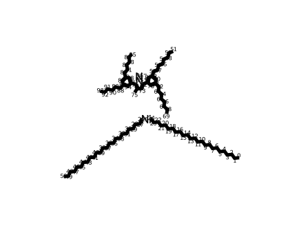 CCCCCCCCCCCCCCCCCCCCCCCC[CH2][Ni][CH2]CCCCCCCCCCCCCCCCCCCCCCCC.CCCCCCCCc1cc(CCCCCCCC)cc(C2=CC(C)=C(c3cc(CCCCCC)cc(CCCCCC)c3)[N+]2=[N-])c1